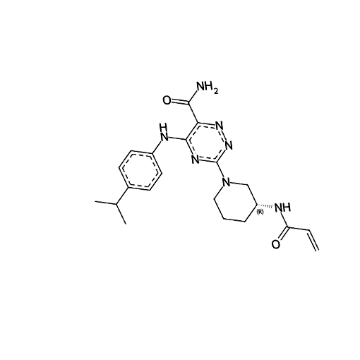 C=CC(=O)N[C@@H]1CCCN(c2nnc(C(N)=O)c(Nc3ccc(C(C)C)cc3)n2)C1